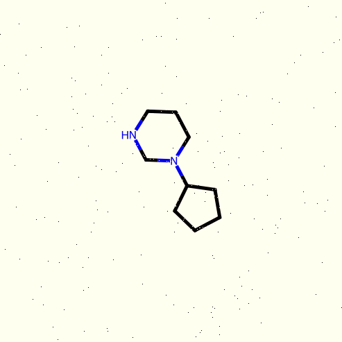 C1CCC(N2CCCNC2)C1